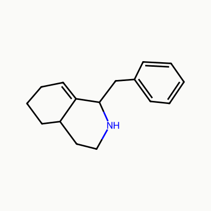 C1=C2C(CCC1)CCNC2Cc1ccccc1